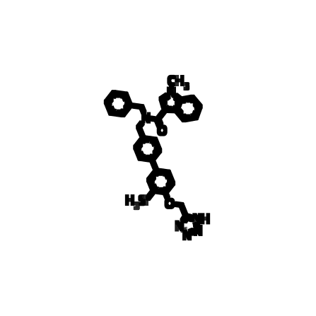 Cn1cc(C(=O)N(Cc2ccccc2)Cc2ccc(-c3ccc(OCc4nnn[nH]4)c([SiH3])c3)cc2)c2ccccc21